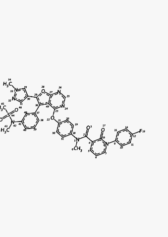 CN(C(=O)c1cccn(-c2ccc(F)cc2)c1=O)c1ccc(Oc2ncnc3oc(-c4cnn(C)c4)c(-c4cccc(N(C)S(C)(=O)=O)c4)c23)cc1